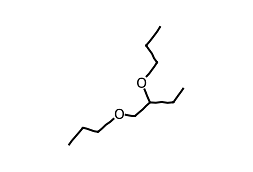 CCCOCC(CC)OCCC